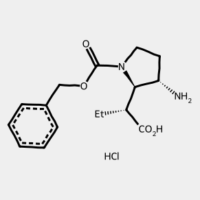 CC[C@@H](C(=O)O)[C@@H]1[C@@H](N)CCN1C(=O)OCc1ccccc1.Cl